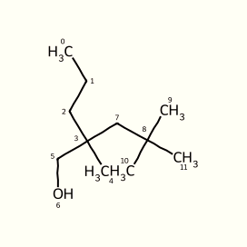 CCCC(C)(CO)CC(C)(C)C